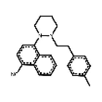 Cc1ccc(CCN2CCCCN2c2ccc(C#N)c3ccccc23)cc1